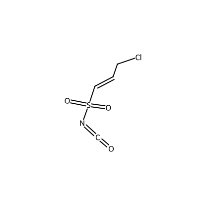 O=C=NS(=O)(=O)C=CCCl